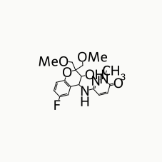 COCC1(COC)Oc2ccc(F)cc2C(Nc2ccc(=O)n(C)n2)C1O